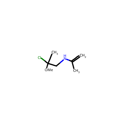 C=C(C)NCC(C)(Cl)OC